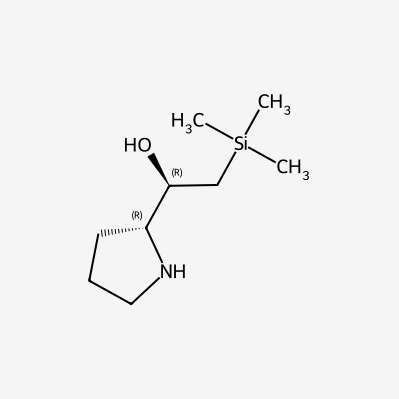 C[Si](C)(C)C[C@H](O)[C@H]1CCCN1